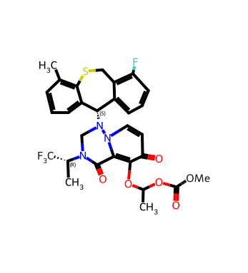 COC(=O)OC(C)Oc1c2n(ccc1=O)N([C@H]1c3cccc(F)c3CSc3c(C)cccc31)CN([C@H](C)C(F)(F)F)C2=O